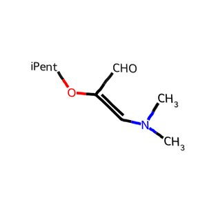 CCCC(C)O/C(C=O)=C/N(C)C